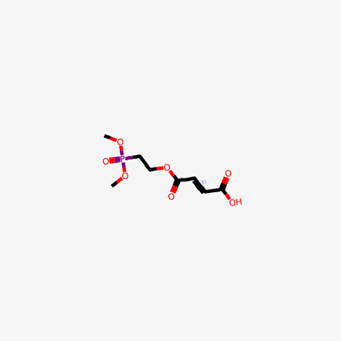 COP(=O)(CCOC(=O)/C=C/C(=O)O)OC